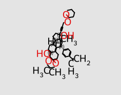 C=C(C)c1ccc([C@H]2C[C@@]3(C)[C@@H](CC[C@@]3(O)C#CCOC3CCCCO3)[C@@H]3CC[C@@]4(O)CC5(CCC4=C32)OCC(C)(C)CO5)cc1